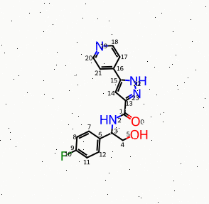 O=C(NC(CO)c1ccc(F)cc1)c1cc(-c2ccncc2)[nH]n1